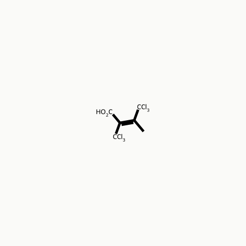 C/C(=C(/C(=O)O)C(Cl)(Cl)Cl)C(Cl)(Cl)Cl